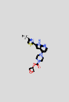 Cc1csc(-c2cc3c(N4CCN(C(=O)OC5COC5)CC4)ccnc3[nH]2)n1